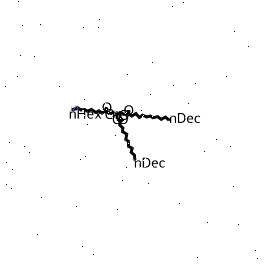 CCCCCC/C=C\CCCCCCCC(=O)OC[C@H](COC(=O)CCCCCCCCCCCCCCCCCCCCC)OC(=O)CCCCCCCCCCCCCCCCCCCCC